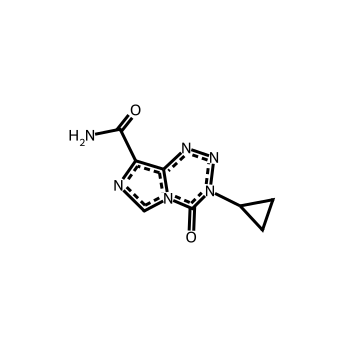 NC(=O)c1ncn2c(=O)n(C3CC3)nnc12